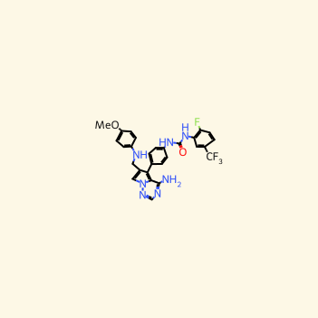 COc1ccc(NCc2cn3ncnc(N)c3c2-c2ccc(NC(=O)Nc3cc(C(F)(F)F)ccc3F)cc2)cc1